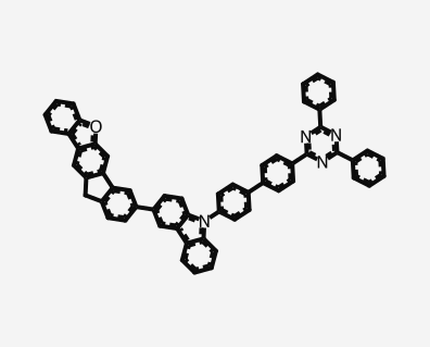 c1ccc(-c2nc(-c3ccccc3)nc(-c3ccc(-c4ccc(-n5c6ccccc6c6cc(-c7ccc8c(c7)-c7cc9oc%10ccccc%10c9cc7C8)ccc65)cc4)cc3)n2)cc1